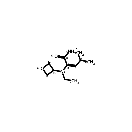 CCN(C(=CC(C)C)C(N)=O)C1COC1